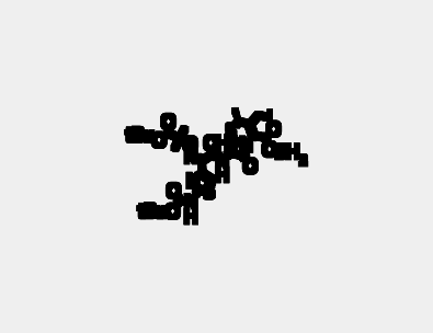 BOC(=O)C1=C(CI)[C@H](C)S[C@@H]2[C@H](NC(=O)/C(=N\OC(C)(C)C(=O)OC(C)(C)C)c3csc(NC(=O)OC(C)(C)C)n3)C(=O)N12